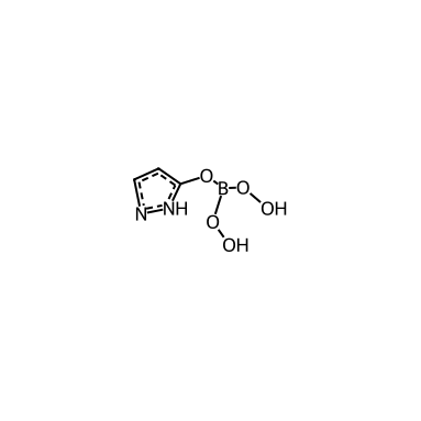 OOB(OO)Oc1ccn[nH]1